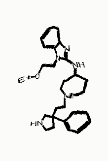 CCOCCn1c(NC2CCN(CCC3(c4ccccc4)CCNC3)CC2)nc2ccccc21